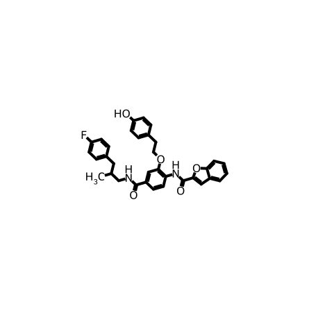 CC(CNC(=O)c1ccc(NC(=O)c2cc3ccccc3o2)c(OCCc2ccc(O)cc2)c1)Cc1ccc(F)cc1